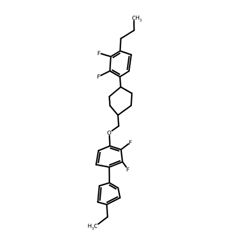 CCCc1ccc(C2CCC(COc3ccc(-c4ccc(CC)cc4)c(F)c3F)CC2)c(F)c1F